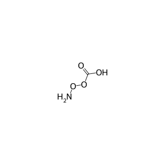 NOOC(=O)O